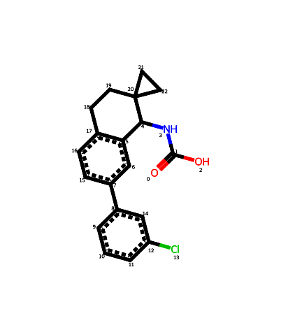 O=C(O)NC1c2cc(-c3cccc(Cl)c3)ccc2CCC12CC2